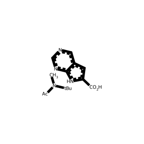 CC(=O)N(C)C(C)(C)C.O=C(O)c1cc2cncnc2[nH]1